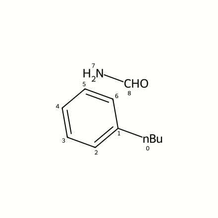 CCCCc1ccccc1.NC=O